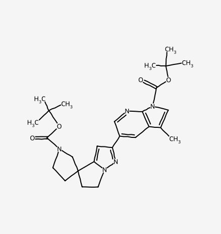 Cc1cn(C(=O)OC(C)(C)C)c2ncc(-c3cc4n(n3)CCC43CCN(C(=O)OC(C)(C)C)C3)cc12